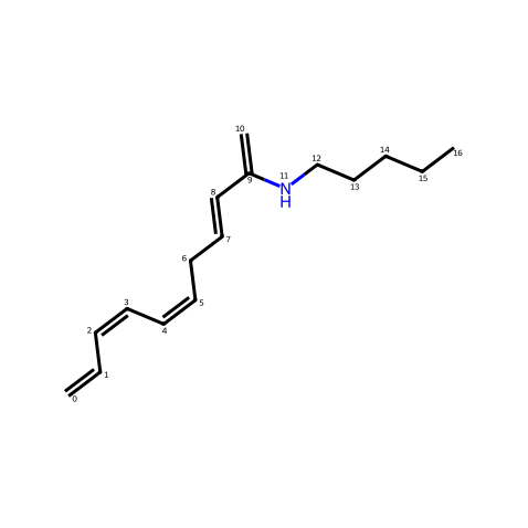 C=C/C=C\C=C/C/C=C/C(=C)NCCCCC